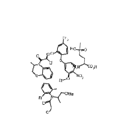 CC1COc2ccccc2N1C(=O)C(Cl)Cl.CCOc1cc(Oc2ccc(C(F)(F)F)cc2Cl)ccc1[N+](=O)[O-].CCc1cccc(C)c1N(C(=O)CCl)C(C)COC.CP(=O)(O)CCC(N)C(=O)O